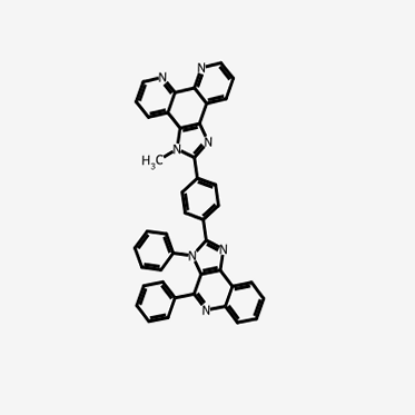 Cn1c(-c2ccc(-c3nc4c5ccccc5nc(-c5ccccc5)c4n3-c3ccccc3)cc2)nc2c3cccnc3c3ncccc3c21